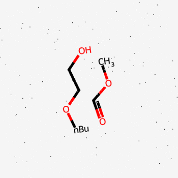 CCCCOCCO.COC=O